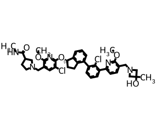 CNC(=O)C1CCN(Cc2cc(Cl)c(O[C@H]3CCc4c(-c5cccc(-c6ccc(CN7CC(C)(O)C7)c(OC)n6)c5Cl)cccc43)nc2OC)C1